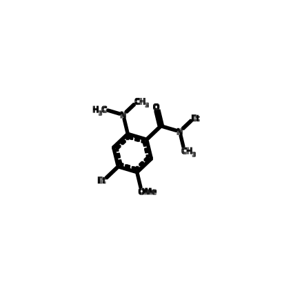 CCc1cc(N(C)C)c(C(=O)N(C)CC)cc1OC